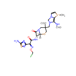 C[S+]1C=CN2CN(CC3(C(=O)[O-])CS[C@@H]4[C@H](NC(=O)C(=NOCF)c5nsc(N)n5)C(=O)N4C3)C(NC=O)=C21